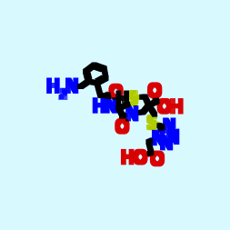 NCc1ccccc1CC(=O)NC1C(=O)N2CC(CSc3nnnn3CC(=O)O)(C(=O)O)CS[C@H]12